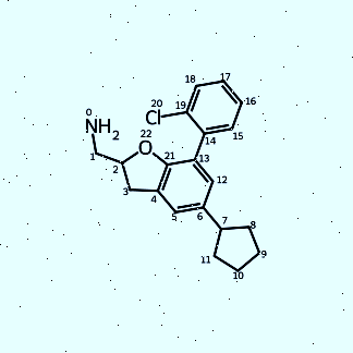 NCC1Cc2cc(C3CCCC3)cc(-c3ccccc3Cl)c2O1